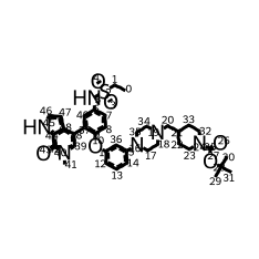 CCS(=O)(=O)Nc1ccc(Oc2cccc(N3CCN(CC4CCN(C(=O)OC(C)(C)C)CC4)CC3)c2)c(-c2cn(C)c(=O)c3[nH]ccc23)c1